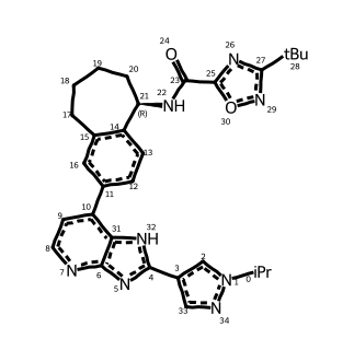 CC(C)n1cc(-c2nc3nccc(-c4ccc5c(c4)CCCC[C@H]5NC(=O)c4nc(C(C)(C)C)no4)c3[nH]2)cn1